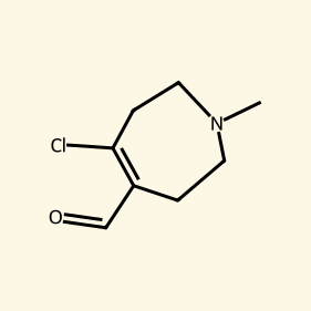 CN1CCC(Cl)=C(C=O)CC1